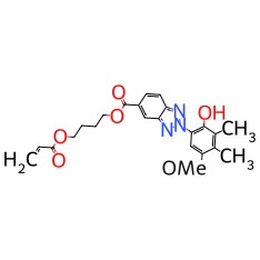 C=CC(=O)OCCCCOC(=O)c1ccc2nn(-c3cc(OC)c(C)c(C)c3O)nc2c1